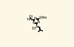 CCNc1nc(SC)nc(N(C=C(C)C)CC)n1